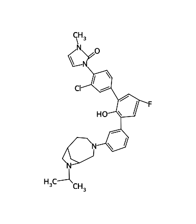 CC(C)N1CC2CCN(c3cccc(-c4cc(F)cc(-c5ccc(-n6ccn(C)c6=O)c(Cl)c5)c4O)c3)CC1C2